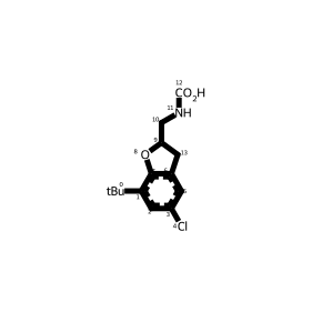 CC(C)(C)c1cc(Cl)cc2c1OC(CNC(=O)O)C2